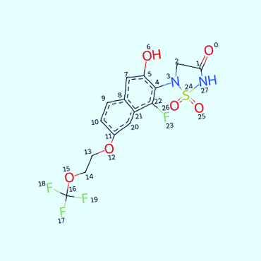 O=C1CN(c2c(O)cc3ccc(OCCOC(F)(F)F)cc3c2F)S(=O)(=O)N1